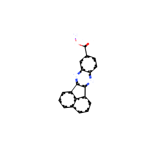 NOC(=O)c1ccc2nc3c(nc2c1)-c1cccc2cccc-3c12